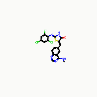 CNc1ncnc2ccc(/C=C3\S/C(=N\c4c(Cl)cc(Cl)cc4Cl)NC3=O)cc12